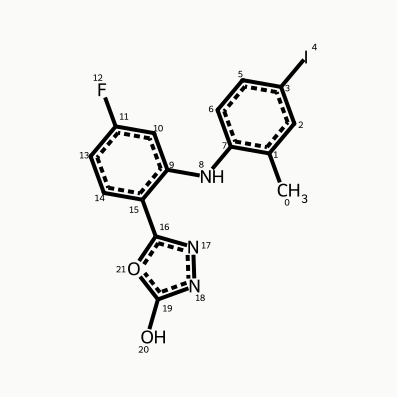 Cc1cc(I)ccc1Nc1cc(F)ccc1-c1nnc(O)o1